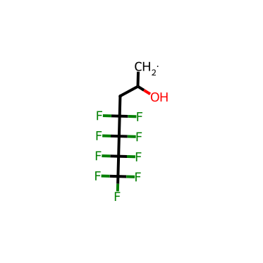 [CH2]C(O)CC(F)(F)C(F)(F)C(F)(F)C(F)(F)F